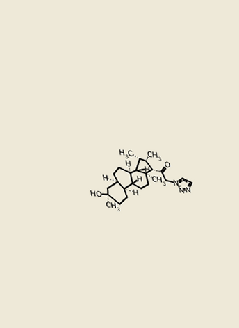 C[C@@H]1[C@H](C)[C@H](C(=O)Cn2ccnn2)[C@@]2(C)CC[C@H]3[C@@H](CC[C@@H]4C[C@](C)(O)CC[C@@H]43)[C@H]12